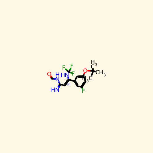 CC(C)(C)Oc1cc(F)cc(/C(=C/C(=N)NC=O)NC(F)(F)F)c1